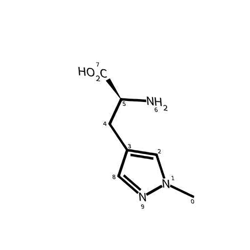 Cn1cc(C[C@H](N)C(=O)O)cn1